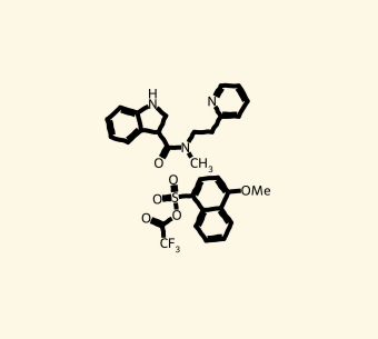 CN(CCc1ccccn1)C(=O)C1CNc2ccccc21.COc1ccc(S(=O)(=O)OC(=O)C(F)(F)F)c2ccccc12